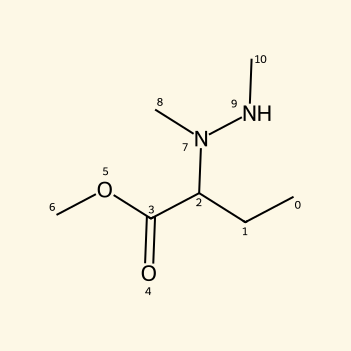 CCC(C(=O)OC)N(C)NC